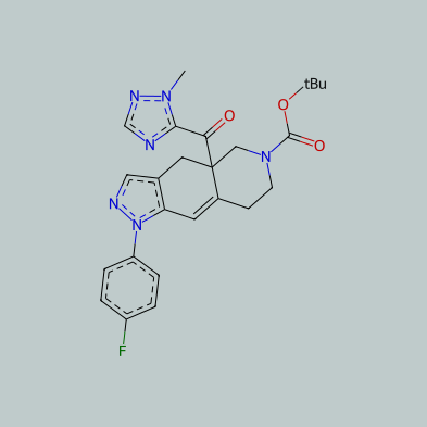 Cn1ncnc1C(=O)C12Cc3cnn(-c4ccc(F)cc4)c3C=C1CCN(C(=O)OC(C)(C)C)C2